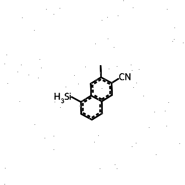 Cc1cc2c([SiH3])cccc2cc1C#N